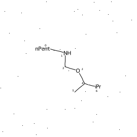 CCCCCNCOC(C)C(C)C